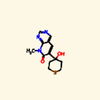 Cn1c(=O)c(C2(O)CCSCC2)cc2cncnc21